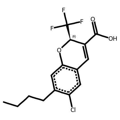 CCCCc1cc2c(cc1Cl)C=C(C(=O)O)[C@H](C(F)(F)F)O2